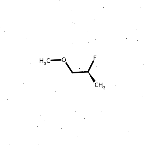 COC[C@H](C)F